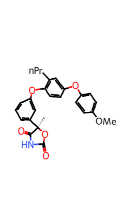 CCCc1cc(Oc2ccc(OC)cc2)ccc1Oc1cccc([C@@]2(C)OC(=O)NC2=O)c1